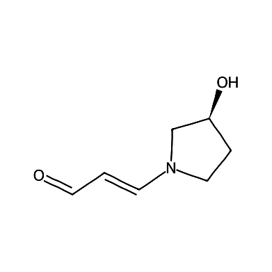 O=CC=CN1CC[C@H](O)C1